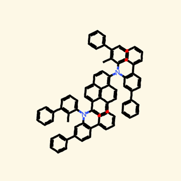 Cc1c(-c2ccccc2)cccc1N(c1cc(-c2ccccc2)ccc1-c1ccccc1)c1ccc2ccc3c(N(c4cc(-c5ccccc5)ccc4-c4ccccc4)c4cccc(-c5ccccc5)c4C)ccc4ccc1c2c43